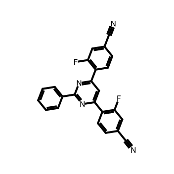 N#Cc1ccc(-c2cc(-c3ccc(C#N)cc3F)nc(-c3ccccc3)n2)c(F)c1